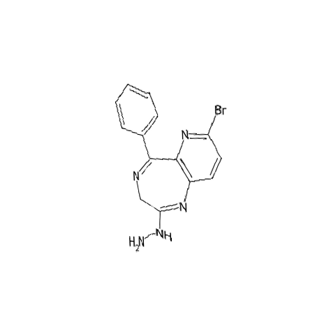 NNC1=Nc2ccc(Br)nc2C(c2ccccc2)=NC1